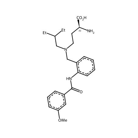 CCC(CC)CN(CC[C@H](N)C(=O)O)Cc1ccccc1NC(=O)c1cccc(OC)c1